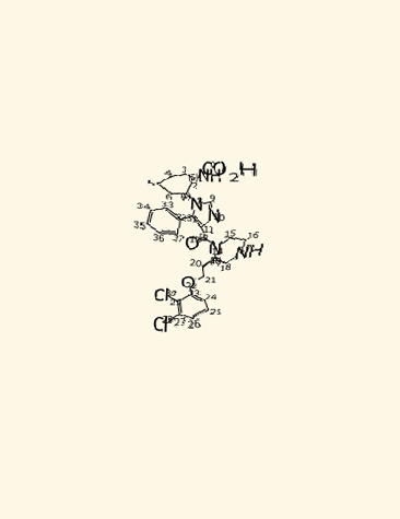 O=C(O)N[C@H]1CCCC[C@@H]1n1cnc(C(=O)N2CCNC[C@H]2CCOc2cccc(Cl)c2Cl)c1-c1ccccc1